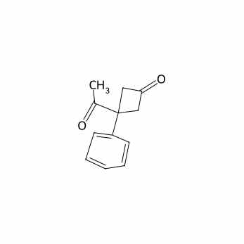 CC(=O)C1(c2ccccc2)CC(=O)C1